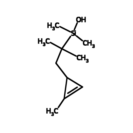 CC1=CC1CC(C)(C)[Si](C)(C)O